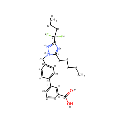 CCCCCc1nc(C(F)(F)CCC)nn1Cc1ccc(-c2cccc(C(=O)O)c2)cc1